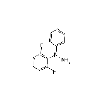 NN(c1ccccc1)c1c(F)cccc1F